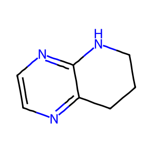 c1cnc2c(n1)CCCN2